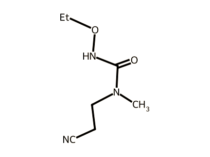 CCONC(=O)N(C)CCC#N